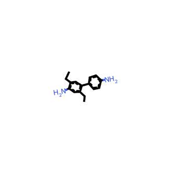 CCc1cc(-c2ccc(N)cc2)c(CC)cc1N